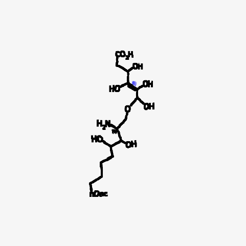 CCCCCCCCCCCCCCC(O)C(O)[C@@H](N)COC(O)/C(O)=C(\O)C(O)CC(=O)O